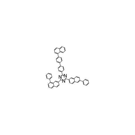 c1ccc(-c2ccc3cc(-c4nc(-c5ccc(-c6ccc(-c7cccc8ccccc78)cc6)cc5)nc(-c5ccc6cccc(-c7ccccc7)c6c5)n4)ccc3c2)cc1